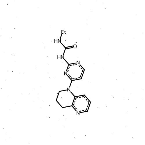 CCNC(=O)Nc1nccc(N2CCCc3ncccc32)n1